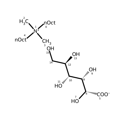 CCCCCCCC[N+](C)(C)CCCCCCCC.O=C([O-])[C@H](O)[C@@H](O)[C@H](O)[C@H](O)CO